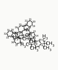 CC(C)(C)c1ccc(C(C)(C)C)c(-c2ccc(-n3c4ccccc4c4ccc(-n5c6ccccc6c6ccccc65)c(C(C)(C)C)c43)cc2)c1